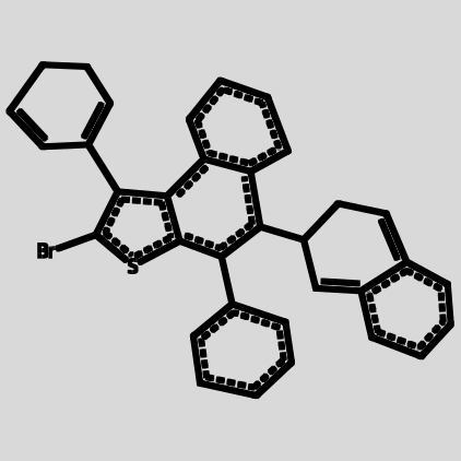 Brc1sc2c(-c3ccccc3)c(C3C=c4ccccc4=CC3)c3ccccc3c2c1C1=CCCC=C1